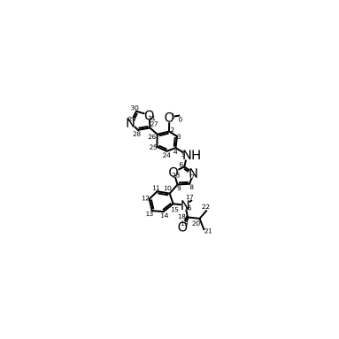 COc1cc(Nc2ncc(-c3ccccc3N(C)C(=O)C(C)C)o2)ccc1-c1cnco1